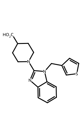 O=C(O)C1CCN(c2nc3ccccc3n2Cc2ccsc2)CC1